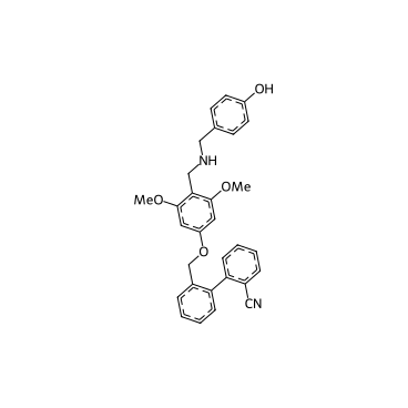 COc1cc(OCc2ccccc2-c2ccccc2C#N)cc(OC)c1CNCc1ccc(O)cc1